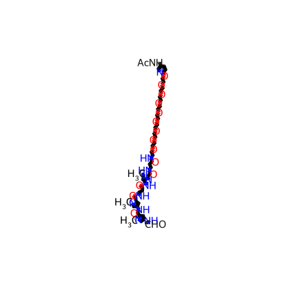 CC(=O)Nc1ccc(OCCOCCOCCOCCOCCOCCOCCOCCOCCNC(=O)CCNC(=O)c2nc(NC(=O)CCNC(=O)c3cc(NC(=O)c4cc(NC=O)cn4C)cn3C)cn2C)nc1